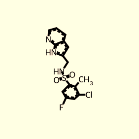 Cc1c(Cl)cc(F)cc1S(=O)(=O)NCc1cc2cccnc2[nH]1